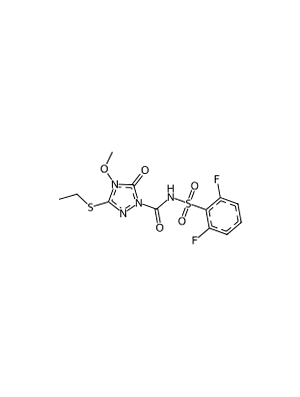 CCSc1nn(C(=O)NS(=O)(=O)c2c(F)cccc2F)c(=O)n1OC